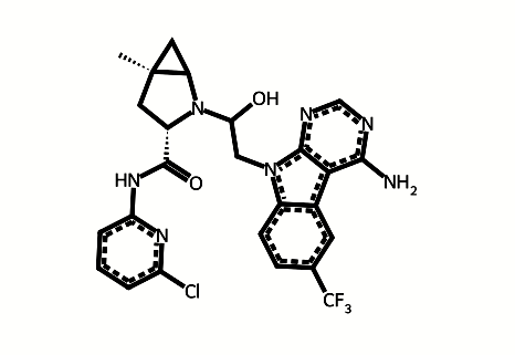 C[C@]12CC1N(C(O)Cn1c3ccc(C(F)(F)F)cc3c3c(N)ncnc31)[C@H](C(=O)Nc1cccc(Cl)n1)C2